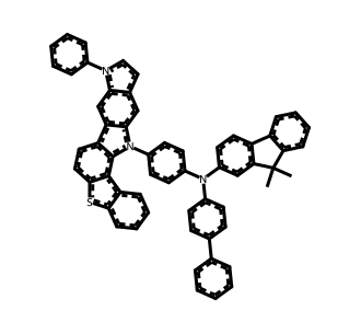 CC1(C)c2ccccc2-c2ccc(N(c3ccc(-c4ccccc4)cc3)c3ccc(-n4c5cc6ccn(-c7ccccc7)c6cc5c5ccc6sc7ccccc7c6c54)cc3)cc21